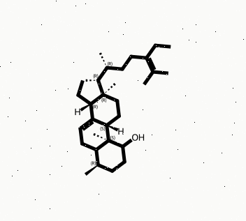 CCC(CC[C@@H](C)[C@H]1CC[C@H]2C3=CCC4[C@H](C)CCC(O)[C@]4(C)[C@H]3CC[C@]12C)=C(C)C